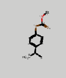 CCOC(=S)Sc1ccc(C(C)C(=O)O)cc1